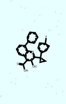 O=C(O)c1c(O)c(C2(c3ccc(F)cc3)CC2)nc2c(-c3ccccc3)cccc12